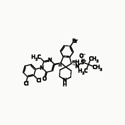 Cc1nc([C@H]2c3ccc(Br)cc3[C@H](N[S@+]([O-])C(C)(C)C)C23CCNCC3)cc(=O)n1-c1cccc(Cl)c1Cl